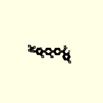 CC[C@H]1CN(c2ncc(NS(=O)(=O)CC)cc2Cl)CCN1C1CCN(C(N)c2ccc(Cl)cc2F)CC1